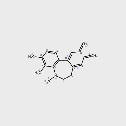 C=C/C=C1/CCN(N)c2c(ccc(C)c2C)/C1=C/C=C